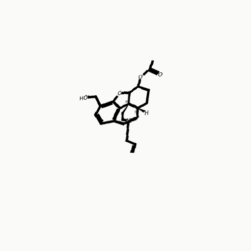 C=CCN1CC[C@@]23c4c5ccc(CO)c4OC2C(OC(C)=O)CC[C@@H]3C1C5